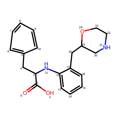 O=C(O)C(Cc1ccccc1)Nc1ccccc1CC1CNCCO1